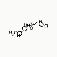 Cc1cc(-c2ccc(NC(=O)NCCc3ccc(Cl)cn3)cc2)ccn1